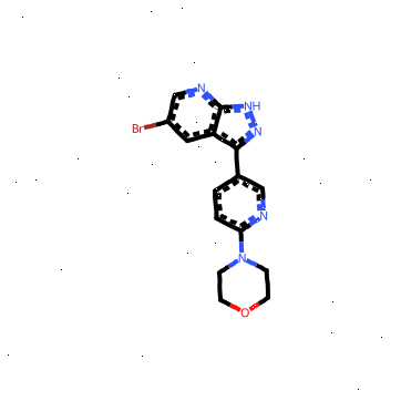 Brc1cnc2[nH]nc(-c3ccc(N4CCOCC4)nc3)c2c1